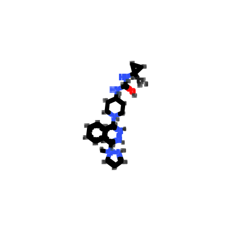 C[N+]1(c2nnc(N3CCC(NC(=O)NC4(C(F)(F)F)CC4)CC3)c3ccccc23)C=CC=N1